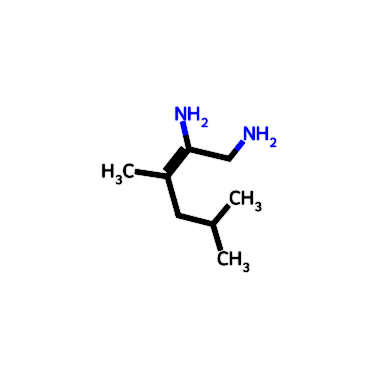 CC(CC(C)C)=C(N)CN